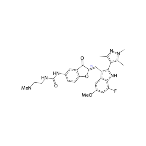 CNCCNC(=O)Nc1ccc2c(c1)C(=O)/C(=C/c1c(-c3c(C)nn(C)c3C)[nH]c3c(F)cc(OC)cc13)O2